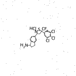 Cl.NC1CCc2cc(C3=NSC(c4cc(Cl)c(Cl)c(Cl)c4)(C(F)(F)F)C3)ccc21